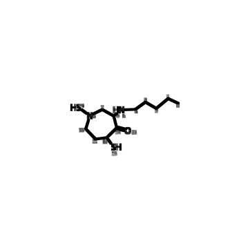 CCCCCNC1CN(S)CCC(S)C1=O